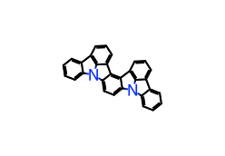 c1ccc2c(c1)c1cccc3c4c5c6cccc7c8ccccc8n(c5ccc4n2c13)c76